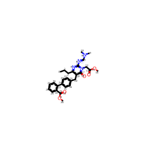 CCCc1nc(/N=C/N(C)C)n(CC(=O)OC)c(=O)c1Cc1ccc(-c2ccccc2C(=O)OC)cc1